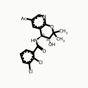 CC(=O)c1cnc2c(c1)[C@H](NC(=O)c1cccc(Cl)c1Cl)[C@@H](O)C(C)(C)O2